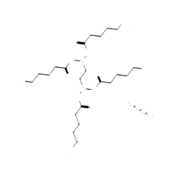 CCCCCC(=O)ON(CCN(OC(=O)CCCCC)OC(=O)CCCCC)OC(=O)CCCCC.[Na].[Na].[Na].[Na]